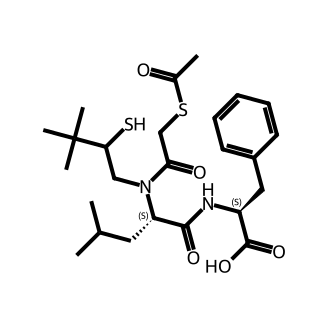 CC(=O)SCC(=O)N(CC(S)C(C)(C)C)[C@@H](CC(C)C)C(=O)N[C@@H](Cc1ccccc1)C(=O)O